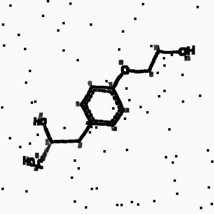 O=C(O)[C@H](O)Cc1ccc(OCCO)cc1